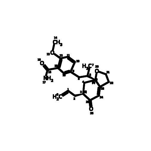 C=CC[C@H]1C[C@]2(C(C)Cc3ccc(OC)c(C(N)=O)c3)OCCC2=CC1=O